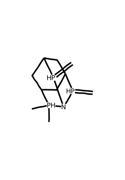 C=[PH]1C2CC3CC(C2)[PH](C)(C)N1[PH]3=C